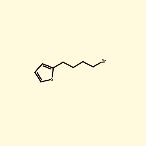 BrCCCCc1cccs1